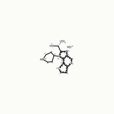 C[C@@H](O)c1nc2cnc3ccsc3c2n1C1CCNCC1.Cl